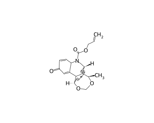 C=CCOC(=O)N1C2C=CC(=O)C=C2C2C3[C@@H](C)OCO[C@@H]2C#C/C=C\C#C[C@@H]31